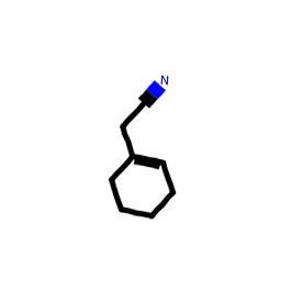 N#CCC1=CCCCC1